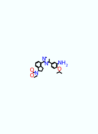 C/N=C(\N=C(/C)c1ccc(OC(C)C)c(N)c1)c1cccc2c1CC[C@@H]2N1CCOC1=O